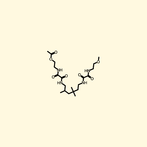 COCCNC(=O)C(=O)NCCC(C)(C)CC(C)CNC(=O)C(=O)NCCOC(C)=O